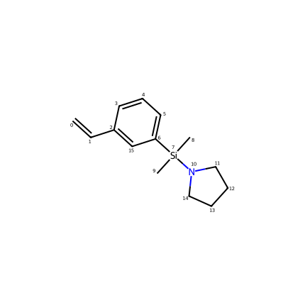 C=Cc1cccc([Si](C)(C)N2CCCC2)c1